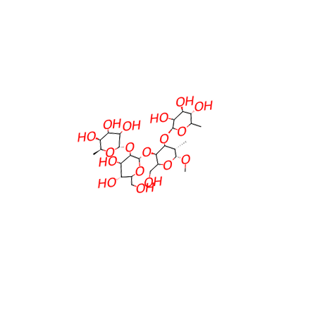 CO[C@@H]1OC(CO)[C@@H](O[C@@H]2OC(CO)[C@H](O)C(O)C2O[C@@H]2O[C@@H](C)[C@@H](O)C(O)C2O)C(O[C@@H]2OC(C)[C@@H](O)[C@H](O)C2O)[C@@H]1C